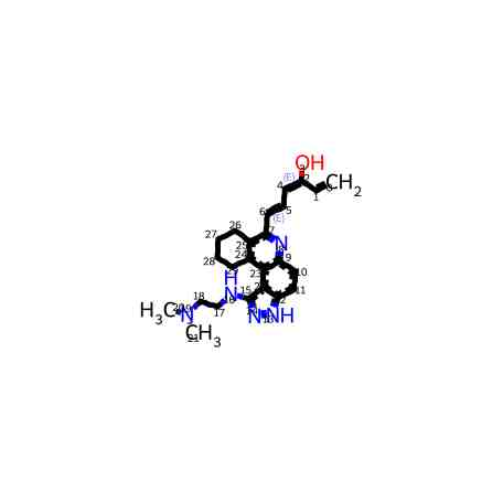 C=C/C(O)=C\C=C\c1nc2ccc3[nH]nc(NCCN(C)C)c3c2c2c1CCCC2